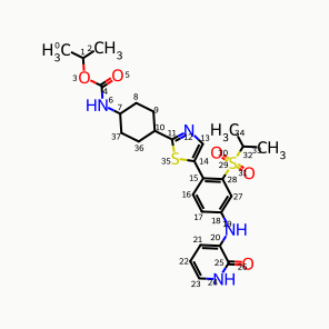 CC(C)OC(=O)NC1CCC(c2ncc(-c3ccc(Nc4ccc[nH]c4=O)cc3S(=O)(=O)C(C)C)s2)CC1